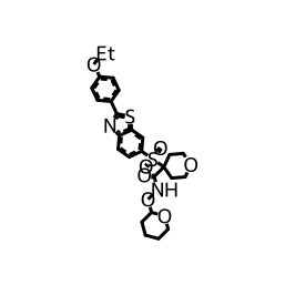 CCOc1ccc(-c2nc3ccc(S(=O)(=O)C4(C(=O)NOC5CCCCO5)CCOCC4)cc3s2)cc1